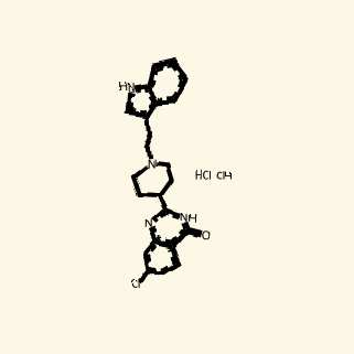 Cl.Cl.O=c1[nH]c(C2CCN(CCc3c[nH]c4ccccc34)CC2)nc2cc(Cl)ccc12